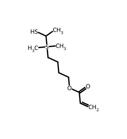 C=CC(=O)OCCCCS(C)(C)C(C)S